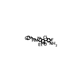 CCn1c(=O)c(-c2cc(N)c(F)cc2Cl)cc2cnc(NCCCN3CCOCC3)cc21